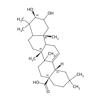 CC1(C)CC[C@]2(C(=O)O)CCC3(C)C(=CCC4[C@@]5(C)CC(O)[C@H](O)C(C)(C)C5CC[C@]43C)[C@@H]2C1